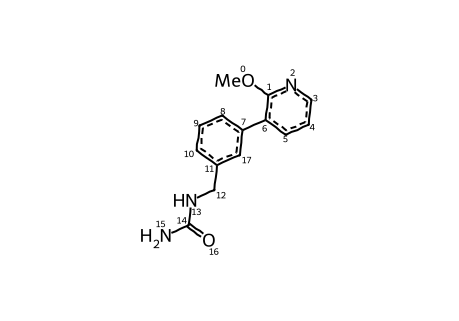 COc1ncccc1-c1cccc(CNC(N)=O)c1